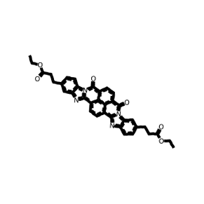 CCOC(=O)CCc1ccc2c(c1)nc1c3ccc4c5c(ccc(c(=O)n21)c35)c(=O)n1c2cc(CCC(=O)OCC)ccc2nc41